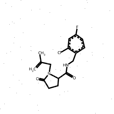 C=C(C)CN1C(=O)CCC1C(=O)NCc1ccc(F)cc1Cl